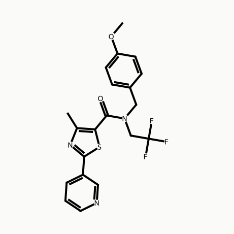 COc1ccc(CN(CC(F)(F)F)C(=O)c2sc(-c3cccnc3)nc2C)cc1